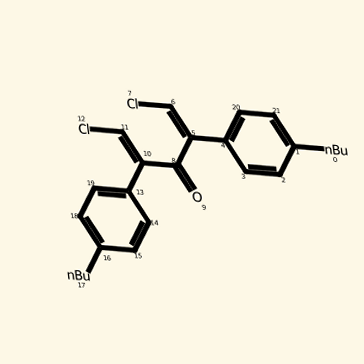 CCCCc1ccc(C(=CCl)C(=O)C(=CCl)c2ccc(CCCC)cc2)cc1